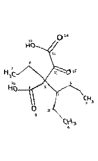 CCC(CC)C(CC)(C(=O)O)C(=O)C(=O)O